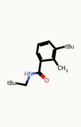 Cc1c(C(=O)NCC(C)(C)C)cccc1C(C)(C)C